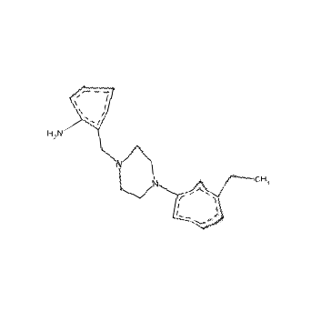 CCc1cccc(N2CCN(Cc3ccccc3N)CC2)c1